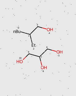 CCCCC(CC)CO.OCC(O)CO